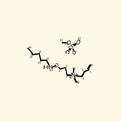 C=CCC[N+](C)(C)CCCONCCCCC.COS(=O)(=O)[O-]